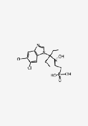 CCC(CC)([C@H](O)CCP(=O)(O)O)n1cnc2cc(Cl)c(Cl)cc21